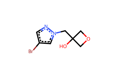 OC1(Cn2cc(Br)cn2)COC1